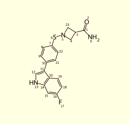 NC(=O)C1CN(Sc2ccc(-c3c[nH]c4cc(F)ccc34)cc2)C1